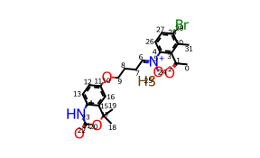 CC(=O)c1c([N+](=CCCCOc2ccc3c(c2)C(C)(C)OC(=O)N3)OS)ccc(Br)c1C